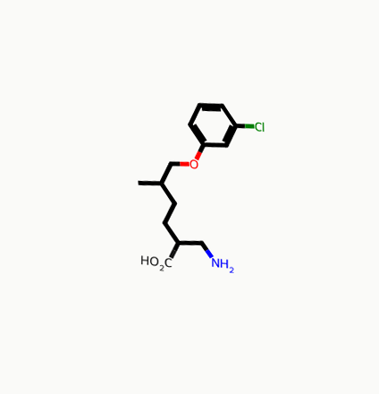 CC(CCC(CN)C(=O)O)COc1cccc(Cl)c1